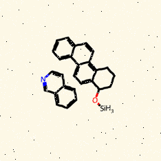 [SiH3]OC1CCCc2c1ccc1c2ccc2ccccc21.c1ccc2cnccc2c1